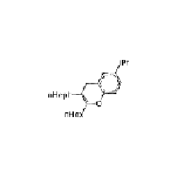 CCCCCCCC1=C(CCCCCC)Oc2ccc(C(C)C)cc2C1